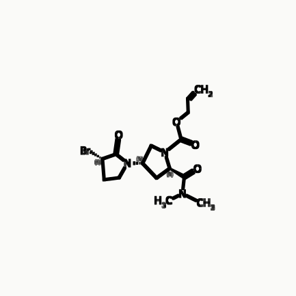 C=CCOC(=O)N1C[C@@H](N2CC[C@H](Br)C2=O)C[C@@H]1C(=O)N(C)C